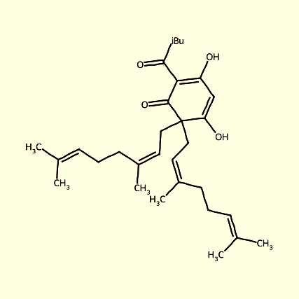 CCC(C)C(=O)C1=C(O)C=C(O)C(CC=C(C)CCC=C(C)C)(CC=C(C)CCC=C(C)C)C1=O